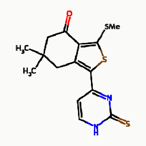 CSc1sc(-c2cc[nH]c(=S)n2)c2c1C(=O)CC(C)(C)C2